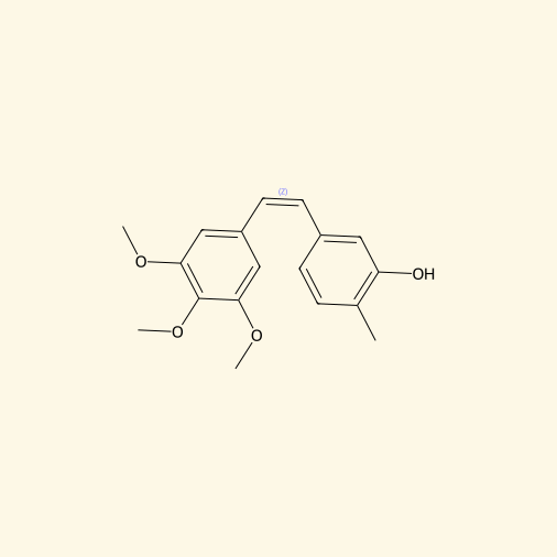 COc1cc(/C=C\c2ccc(C)c(O)c2)cc(OC)c1OC